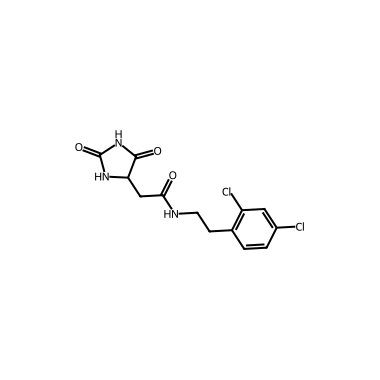 O=C(CC1NC(=O)NC1=O)NCCc1ccc(Cl)cc1Cl